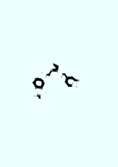 O=C(Nc1ccc2c(c1)OC(F)(F)O2)c1sccc1NCc1ccnc(Cl)c1